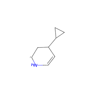 [C]1CC(C2CC2)C=CN1